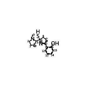 CN1CCSC1C1(S)CSC(c2ccccc2O)=N1